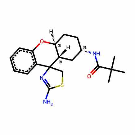 CC(C)(C)C(=O)N[C@H]1CC[C@@H]2Oc3ccccc3C3(CSC(N)=N3)[C@H]2C1